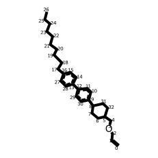 C=CCOCC1CCC(c2ccc(-c3ccc(CCCCCCCCCC)cc3)cc2)CC1